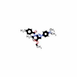 CCOC(=O)c1cn(-c2ccc(N(C)C)cc2)nc1N(C(=O)C1CCC(C)CC1)C(C)C